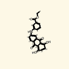 CCOC(=O)c1cccc(Nc2ccc3c(c2)C(=O)c2c(O)ccc(O)c2C3=O)c1